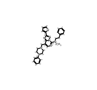 CN(CCc1ccccc1)c1ncc(CN2CCN(c3ccccc3)CC2)c2nc(-c3ccco3)nn12